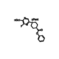 CCCCCCCCc1ncc([C@]2(CCCCC)CC[C@H](C(=O)Oc3ccccc3)CC2)nc1F